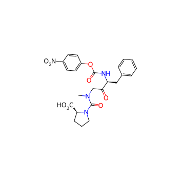 CN(CC(=O)[C@H](Cc1ccccc1)NC(=O)Oc1ccc([N+](=O)[O-])cc1)C(=O)N1CCC[C@H]1C(=O)O